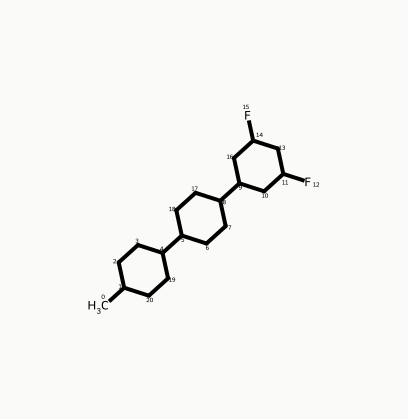 CC1CCC(C2CCC(C3CC(F)CC(F)C3)CC2)CC1